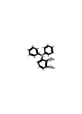 CCCCc1cccc(N(c2ccccc2)c2ccccc2)c1CCCC